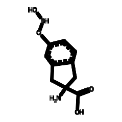 NC1(C(=O)O)Cc2ccc(OBO)cc2C1